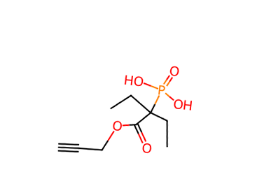 C#CCOC(=O)C(CC)(CC)P(=O)(O)O